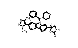 Cc1nnn(C)c1-c1cnc2c3ccc(C4(C)CNC(=O)O4)cc3n([C@H](c3ccccc3)C3CCOCC3)c2c1